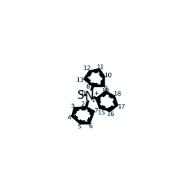 [S-][N+](c1ccccc1)(c1ccccc1)c1ccccc1